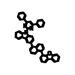 c1ccc(-c2cc(-c3ccccc3)nc(-n3c4ccccc4c4cc(-c5cccc6c(-c7cccc8c7oc7ccccc78)cccc56)ccc43)n2)cc1